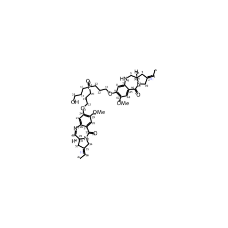 C/C=C1\C[C@H]2CNc3cc(OCCCP(=O)(CCCO)CCCOc4cc5c(cc4OC)C(=O)N4C/C(=C/C)C[C@H]4C=N5)c(OC)cc3C(=O)N2C1